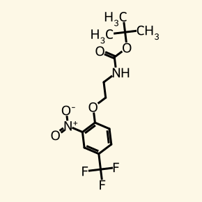 CC(C)(C)OC(=O)NCCOc1ccc(C(F)(F)F)cc1[N+](=O)[O-]